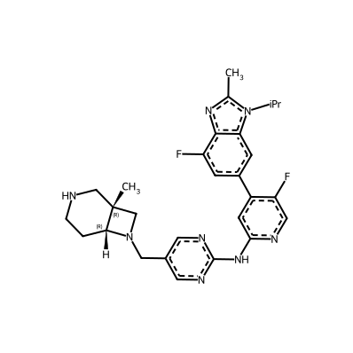 Cc1nc2c(F)cc(-c3cc(Nc4ncc(CN5C[C@@]6(C)CNCC[C@@H]56)cn4)ncc3F)cc2n1C(C)C